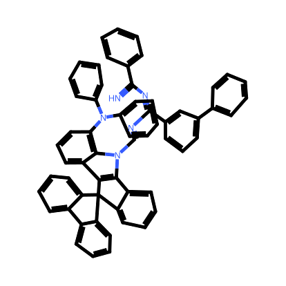 N=C(/N=C(\N=C\n1c2c(c3cccc(N(c4ccccc4)c4ccccc4)c31)C1(c3ccccc3-c3ccccc31)c1ccccc1-2)c1cccc(-c2ccccc2)c1)c1ccccc1